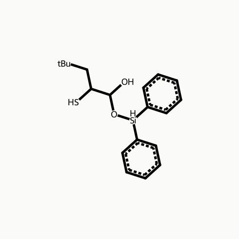 CC(C)(C)CC(S)C(O)O[SiH](c1ccccc1)c1ccccc1